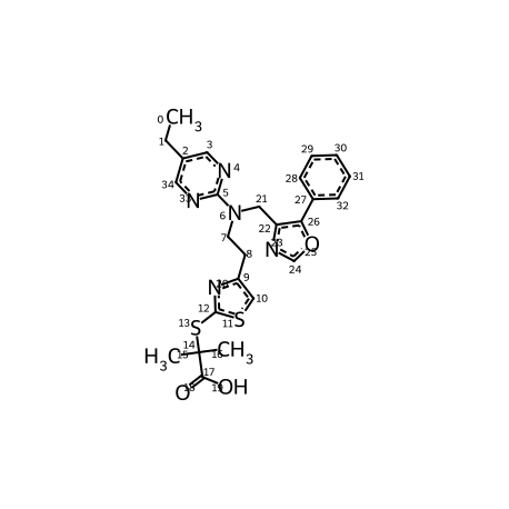 CCc1cnc(N(CCc2csc(SC(C)(C)C(=O)O)n2)Cc2ncoc2-c2ccccc2)nc1